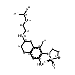 O=S1(=O)NCCN1c1c(O)cc2c(c1F)CC(NCCOC(F)F)CC2